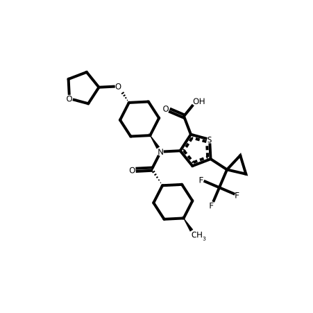 C[C@H]1CC[C@H](C(=O)N(c2cc(C3(C(F)(F)F)CC3)sc2C(=O)O)[C@H]2CC[C@H](OC3CCOC3)CC2)CC1